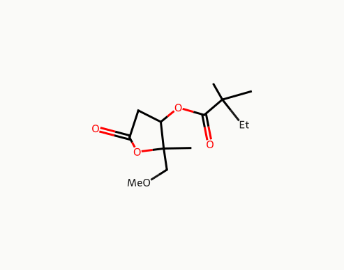 CCC(C)(C)C(=O)OC1CC(=O)OC1(C)COC